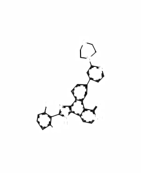 O=c1[nH]ccc2c3[nH]c(-c4c(F)cccc4Cl)nc3c3ccc(-c4ccnc(N5CCOCC5)c4)cc3c12